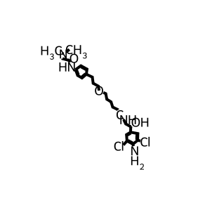 CN(C)CC(=O)Nc1ccc(CCCOCCCCCCNCC(O)c2cc(Cl)c(N)c(Cl)c2)cc1